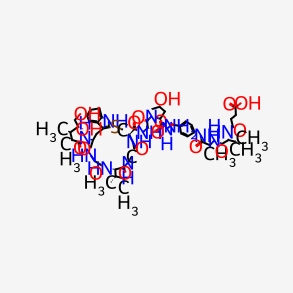 CC[C@H](C)[C@@H]1NC(=O)CNC(=O)[C@@H](NC(=O)[C@@H](C)[C@@H](C)[C@@H](O)CO)Cc2c([nH]c3ccccc23)SC[C@@H](C(=O)N[C@@H](CC(=O)NCc2ccc(NC(=O)[C@H](C)NC(=O)[C@@H](NC(=O)CCC(=O)O)C(C)C)cc2)C(=O)N2C[C@H](O)C[C@H]2C(N)=O)NC(=O)CNC1=O